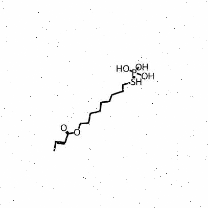 CC=CC(=O)OCCCCCCCCC[SH]=P(O)(O)O